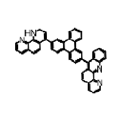 C1=C(c2ccc3c4ccc(-c5c6ccccc6nc6c5ccc5cccnc56)cc4c4ccccc4c3c2)c2ccc3cccnc3c2NC1